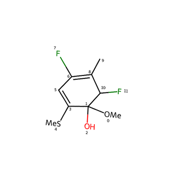 COC1(O)C(SC)=CC(F)=C(C)C1F